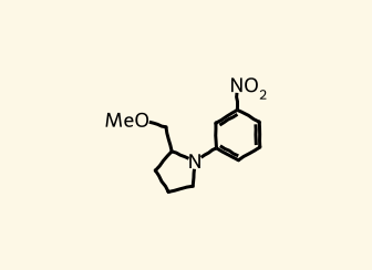 COCC1CCCN1c1cccc([N+](=O)[O-])c1